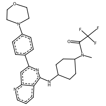 CN(C(=O)C(F)(F)F)C1CCC(Nc2nc(-c3ccc(N4CCOCC4)cc3)cc3ncccc23)CC1